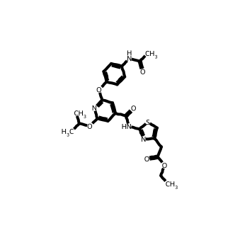 CCOC(=O)Cc1csc(NC(=O)c2cc(Oc3ccc(NC(C)=O)cc3)nc(OC(C)C)c2)n1